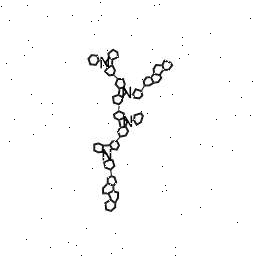 c1ccc(-n2c3ccccc3c3cc(-c4ccc5c(c4)c4ccc(-c6ccc7c8cc(-c9ccc%10c(c9)c9ccccc9n%10-c9ccc(-c%10ccc%11c(ccc%12c%13ccccc%13ccc%11%12)c%10)cc9)ccc8n(-c8ccccc8)c7c6)cc4n5-c4cccc(-c5ccc6c(ccc7c8ccccc8ccc67)c5)c4)ccc32)cc1